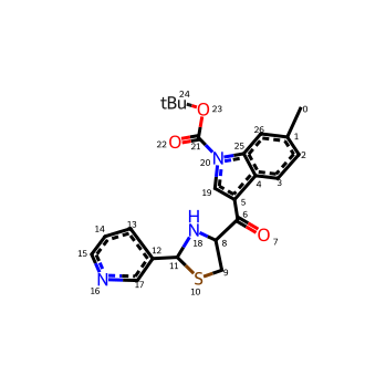 Cc1ccc2c(C(=O)C3CSC(c4cccnc4)N3)cn(C(=O)OC(C)(C)C)c2c1